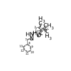 C[CH](CC(=O)N/N=C/c1ccccc1)[Sn]([CH3])([CH3])[CH3]